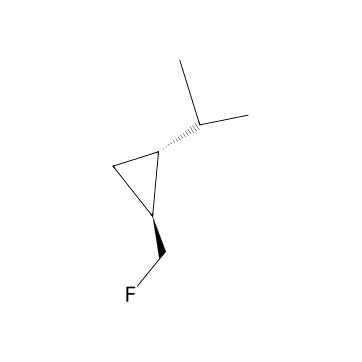 CC(C)[C@H]1C[C@@H]1CF